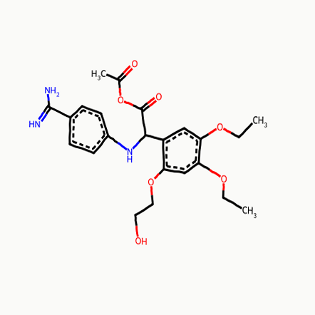 CCOc1cc(OCCO)c(C(Nc2ccc(C(=N)N)cc2)C(=O)OC(C)=O)cc1OCC